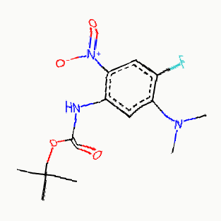 CN(C)c1cc(NC(=O)OC(C)(C)C)c([N+](=O)[O-])cc1F